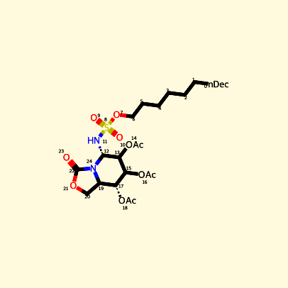 CCCCCCCCCCCCCCCCOS(=O)(=O)N[C@@H]1C(OC(C)=O)C(OC(C)=O)[C@H](OC(C)=O)C2COC(=O)N21